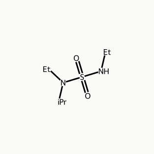 CCNS(=O)(=O)N(CC)C(C)C